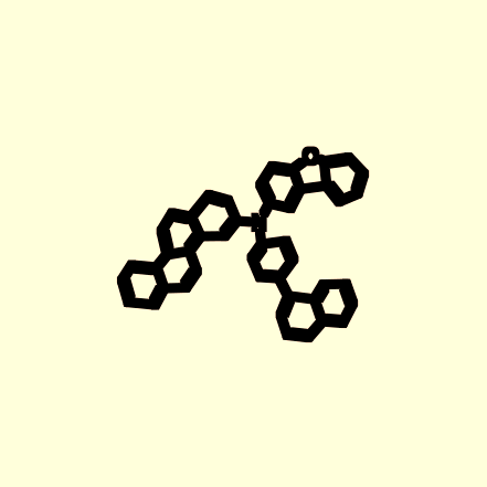 c1ccc2c(-c3ccc(N(c4ccc5ccc6c7ccccc7ccc6c5c4)c4ccc5oc6ccccc6c5c4)cc3)cccc2c1